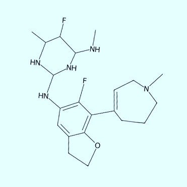 CNC1NC(Nc2cc3c(c(C4=CCN(C)CCC4)c2F)OCC3)NC(C)C1F